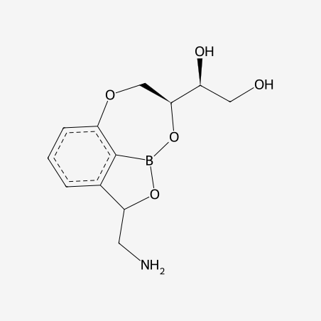 NCC1OB2O[C@H]([C@@H](O)CO)COc3cccc1c32